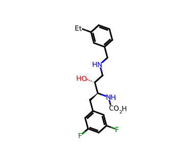 CCc1cccc(CNC[C@@H](O)[C@H](Cc2cc(F)cc(F)c2)NC(=O)O)c1